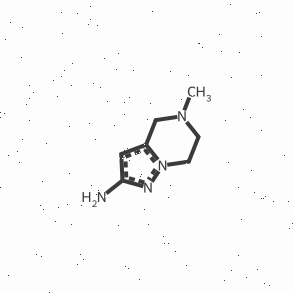 CN1CCn2nc(N)cc2C1